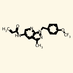 C=CC(=O)Nc1cnc2c(c1)c(C)nn2Cc1ccc(OC(F)(F)F)cc1